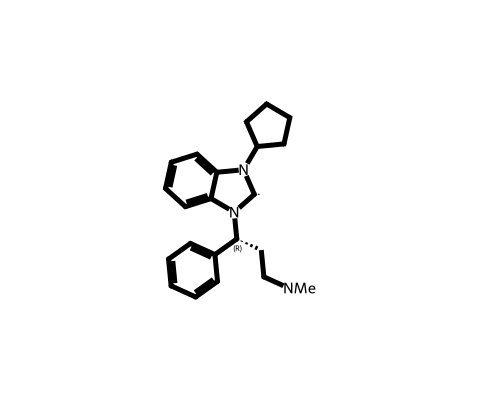 CNCC[C@H](c1ccccc1)N1[CH]N(C2CCCC2)c2ccccc21